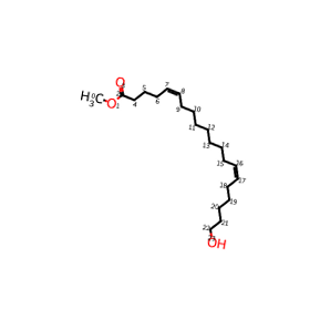 COC(=O)CCC/C=C\CCCCCCC/C=C\CCCCCO